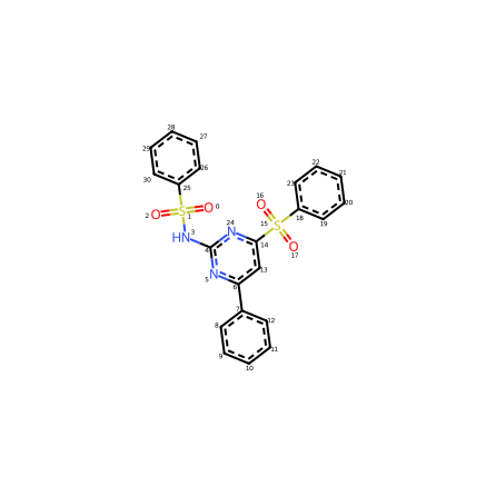 O=S(=O)(Nc1nc(-c2ccccc2)cc(S(=O)(=O)c2ccccc2)n1)c1ccccc1